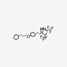 N=C(/C=C(\NCCc1ccc(OCCCc2ccccc2)cc1)C(F)(F)F)C(F)(F)F